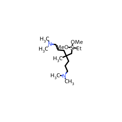 CC[Si](CC(C)(CCCN(C)C)CCCN(C)C)(OC)OC